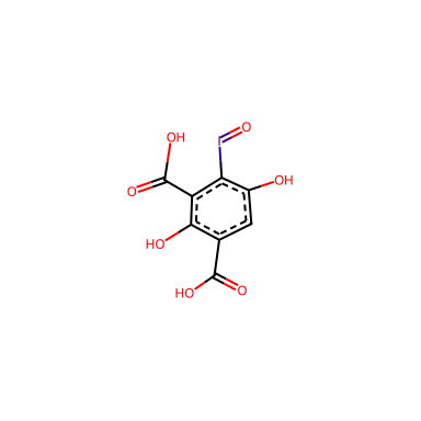 O=Ic1c(O)cc(C(=O)O)c(O)c1C(=O)O